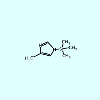 Cc1cn([Si](C)(C)C)cn1